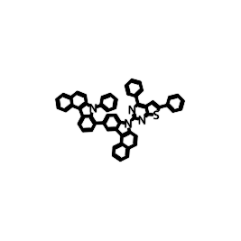 c1ccc(-c2cc3c(-c4ccccc4)nc(-n4c5ccc(-c6cccc7c8c9ccccc9ccc8n(-c8ccccc8)c67)cc5c5c6ccccc6ccc54)nc3s2)cc1